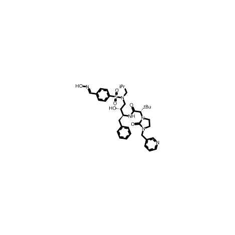 CC(C)CN(C[C@@H](O)[C@H](Cc1ccccc1)NC(=O)[C@@H](N1CCN(Cc2cccnc2)C1=O)C(C)(C)C)S(=O)(=O)c1ccc(/C=N/O)cc1